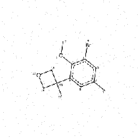 COc1c(Br)cc(C)cc1C1(C)COC1